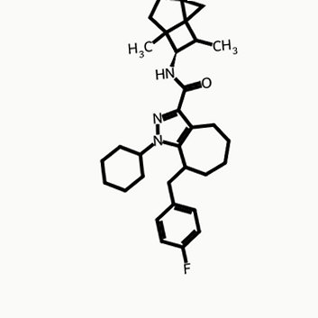 CC1[C@@H](NC(=O)c2nn(C3CCCCC3)c3c2CCCCC3Cc2ccc(F)cc2)C2(C)CCC3CC312